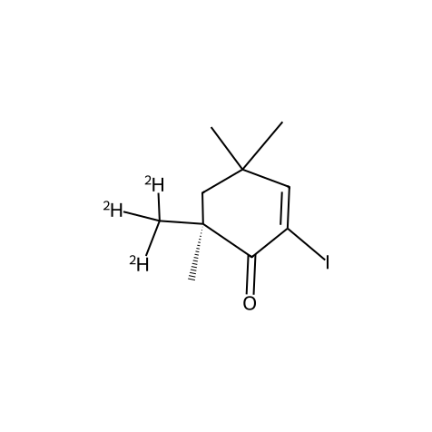 [2H]C([2H])([2H])[C@@]1(C)CC(C)(C)C=C(I)C1=O